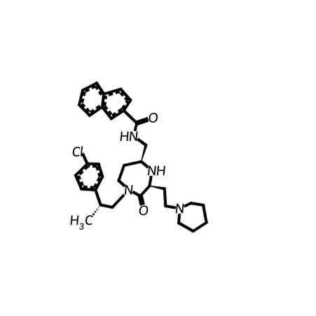 C[C@@H](CN1CC[C@@H](CNC(=O)c2ccc3ccccc3c2)N[C@@H](CCN2CCCCC2)C1=O)c1ccc(Cl)cc1